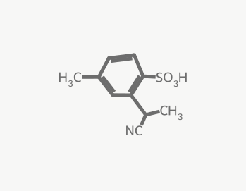 Cc1ccc(S(=O)(=O)O)c(C(C)C#N)c1